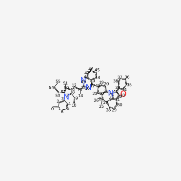 C=C/C=C(\C=C/C)n1c(C=C)c(/C=C(\C)c2nc(-c3ccc4c(c3)C(C)(C)c3cccc5c6oc7ccccc7c6n-4c35)c3ccccc3n2)c(C)c1/C=C\C